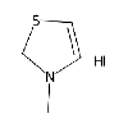 CN1C=CSC1.I